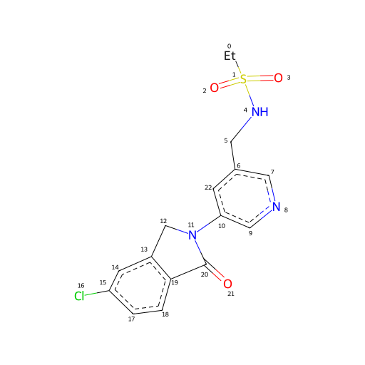 CCS(=O)(=O)NCc1cncc(N2Cc3cc(Cl)ccc3C2=O)c1